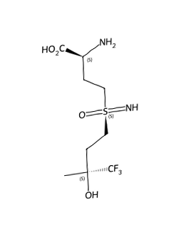 C[C@](O)(CC[S@@](=N)(=O)CC[C@H](N)C(=O)O)C(F)(F)F